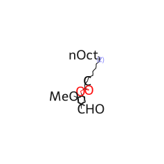 CCCCCCCC/C=C\CCCCCCCC(=O)Oc1ccc(C=O)cc1OC